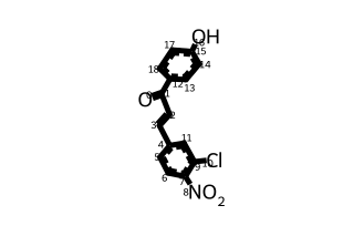 O=C(/C=C/c1ccc([N+](=O)[O-])c(Cl)c1)c1ccc(O)cc1